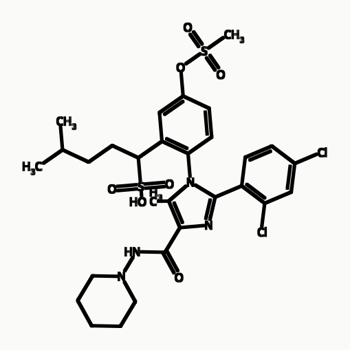 Cc1c(C(=O)NN2CCCCC2)nc(-c2ccc(Cl)cc2Cl)n1-c1ccc(OS(C)(=O)=O)cc1C(CCC(C)C)S(=O)(=O)O